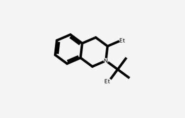 CCC1Cc2ccccc2CN1C(C)(C)CC